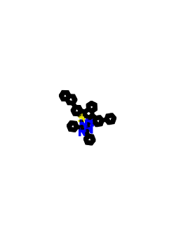 c1ccc(-c2ccc3c(c2)c2c4ccccc4c4c5cc(-c6ccc7ccccc7c6)ccc5sc4c2n3-c2nc(-c3ccccc3)nc(-c3ccccc3)n2)cc1